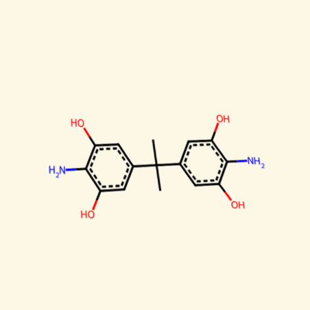 CC(C)(c1cc(O)c(N)c(O)c1)c1cc(O)c(N)c(O)c1